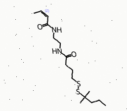 C/C=C\C(=O)NCCNC(=O)CCCSSC(C)(C)CCC